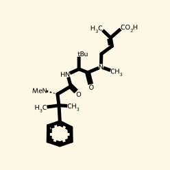 CN[C@H](C(=O)NC(C(=O)N(C)C/C=C(\C)C(=O)O)C(C)(C)C)C(C)(C)c1ccccc1